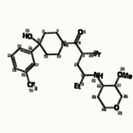 CCC(CC(C(=O)N1CCC(O)(c2cccc(C(F)(F)F)c2)CC1)C(C)C)NC1CCOCC1OC